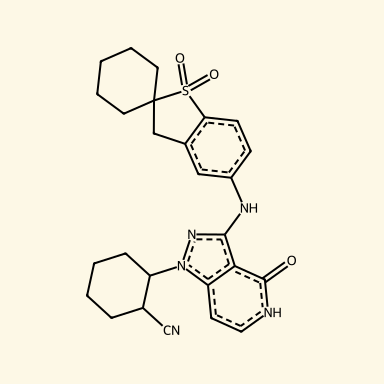 N#CC1CCCCC1n1nc(Nc2ccc3c(c2)CC2(CCCCC2)S3(=O)=O)c2c(=O)[nH]ccc21